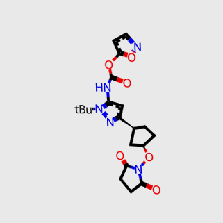 CC(C)(C)n1nc([C@H]2CC[C@@H](ON3C(=O)CCC3=O)C2)cc1NC(=O)Oc1ccno1